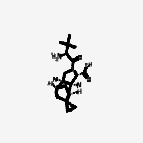 CC(C)(C)[C@H](N)C(=O)N1C[C@@H]2[C@H]3C[C@@H]([C@@H]2[C@H]1C(=O)O)C1(CC1)C3